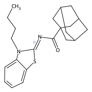 CCCCn1/c(=N/C(=O)C23CC4CC(CC(C4)C2)C3)sc2ccccc21